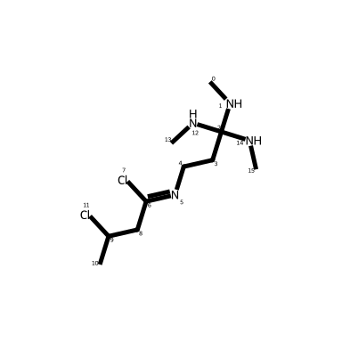 CNC(CCN=C(Cl)CC(C)Cl)(NC)NC